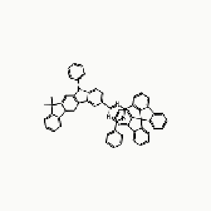 CC1(C)c2ccccc2-c2cc3c4cc(-c5nc(-c6ccccc6)nc(-c6cccc7c6C6(c8ccccc8-c8ccccc86)c6ccccc6-7)n5)ccc4n(-c4ccccc4)c3cc21